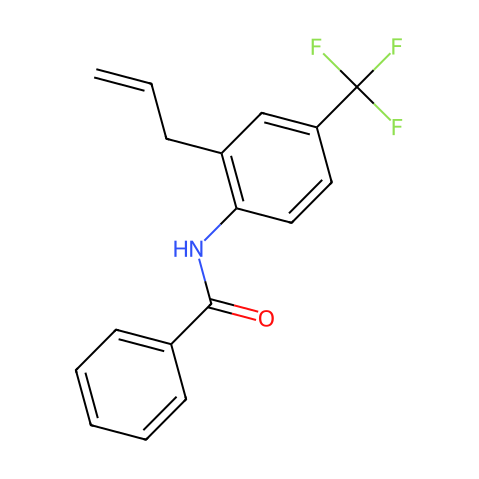 C=CCc1cc(C(F)(F)F)ccc1NC(=O)c1ccccc1